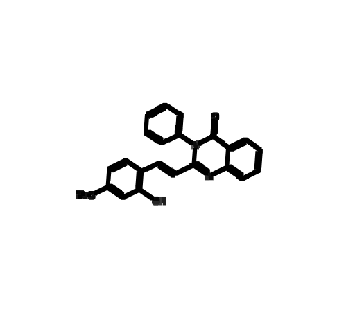 COc1ccc(C=Cc2nc3ccccc3c(=O)n2-c2ccccc2)c(O)c1